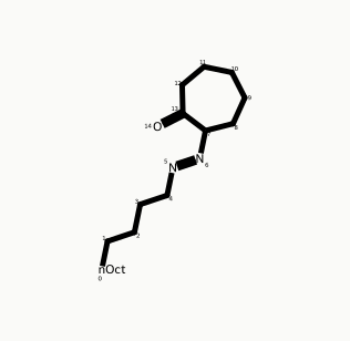 CCCCCCCCCCCCN=NC1CCCCCC1=O